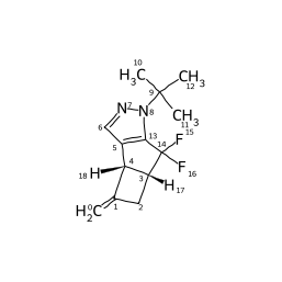 C=C1C[C@@H]2[C@H]1c1cnn(C(C)(C)C)c1C2(F)F